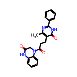 Cc1nc(-c2ccccc2)[nH]c(=O)c1CCC(=O)N1CC(=O)Nc2ccccc21